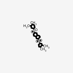 Cc1ccc(S(=O)(=O)c2ccc3cc(S(=O)(=O)c4ccc(C)c(C)c4)ccc3c2)cc1C